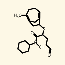 CC1=C2CC(=CCC1)C(SC(CCC=O)C(=O)N(C)C1CCCCC1)C2